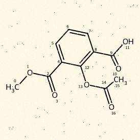 COC(=O)c1cccc(C(=O)O)c1OC(C)=O